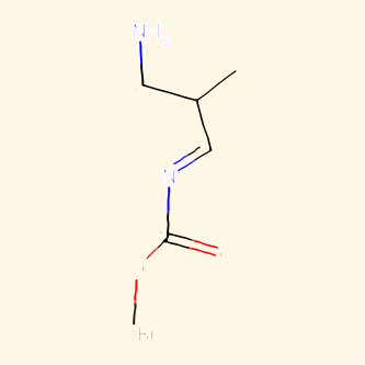 CC(/C=N/C(=O)OC(C)(C)C)CN